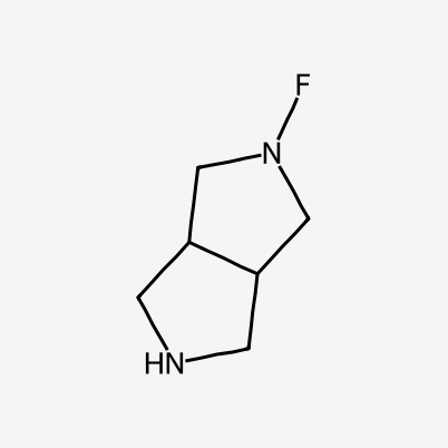 FN1CC2CNCC2C1